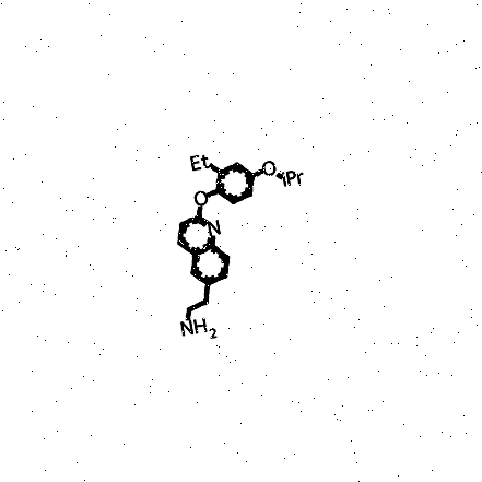 CCc1cc(OC(C)C)ccc1Oc1ccc2cc(CCN)ccc2n1